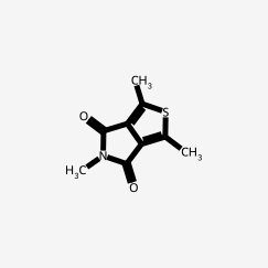 Cc1sc(C)c2c1C(=O)N(C)C2=O